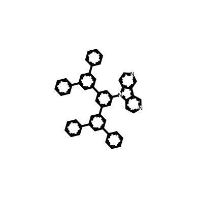 c1ccc(-c2cc(-c3ccccc3)cc(-c3cc(-c4cc(-c5ccccc5)cc(-c5ccccc5)c4)cc(-n4c5ccncc5c5cnccc54)c3)c2)cc1